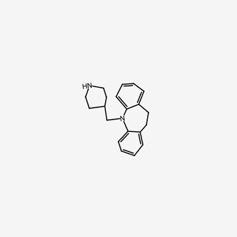 c1ccc2c(c1)CCc1ccccc1N2CC1CCNCC1